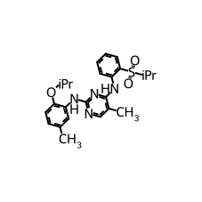 Cc1ccc(OC(C)C)c(Nc2ncc(C)c(Nc3ccccc3S(=O)(=O)C(C)C)n2)c1